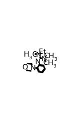 CCN(C)C(=Nc1ccccc1N1CCOCC1)N(C)C